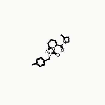 Cc1ccc(Cn2nc3n(c2=O)C(C(=O)N2CCC2C)CCC3)cc1